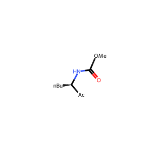 CCCC[C@@H](NC(=O)OC)C(C)=O